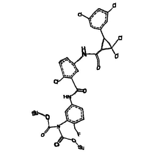 CC(C)(C)OC(=O)N(C(=O)OC(C)(C)C)c1cc(NC(=O)c2cc(NC(=O)C3C(c4cc(Cl)cc(Cl)c4)C3(Cl)Cl)ccc2Cl)ccc1F